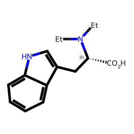 CCN(CC)[C@@H](Cc1c[nH]c2ccccc12)C(=O)O